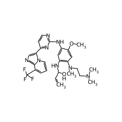 C=CC(O)Nc1cc(Nc2nccc(-c3cnc4c(C(F)(F)F)cccn34)n2)c(OC)cc1N(C)CCN(C)C